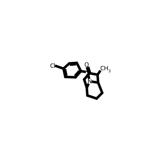 CC1C(=O)CC2CCCC1N2Sc1ccc(Cl)cc1